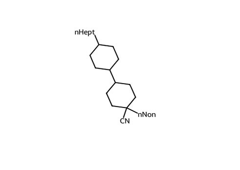 CCCCCCCCCC1(C#N)CCC(C2CCC(CCCCCCC)CC2)CC1